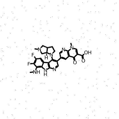 CNc1c(F)c(F)cc2c1[nH]c1ncc(-c3cnc4c(c3)c(=O)c(C(=O)O)cn4C)c(N3CCC4CN(C)C[C@H]43)c12